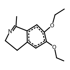 CCOc1cc2c(cc1OCC)C(C)=NCC2